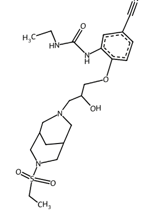 CCNC(=O)Nc1cc(C#N)ccc1OCC(O)CN1CC2CC(C1)CN(S(=O)(=O)CC)C2